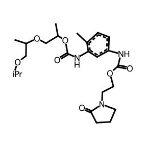 Cc1ccc(NC(=O)OCCN2CCCC2=O)cc1NC(=O)OC(C)COC(C)COC(C)C